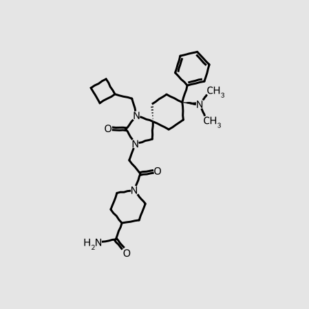 CN(C)[C@]1(c2ccccc2)CC[C@]2(CC1)CN(CC(=O)N1CCC(C(N)=O)CC1)C(=O)N2CC1CCC1